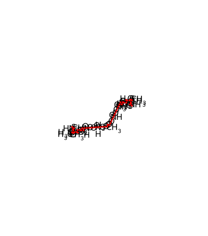 CC(C)(COCCOCCCNC(=O)CCOCCOCCNC(=O)C1CCN(C(=O)Oc2ccc(C[C@H](NC(=O)[C@H]3NCSC3(C)C)C(=O)OC(C)(C)C)cc2)CC1)COCCOCCCNC(=O)CCOCCOCCNC(=O)N1CCN(C(=O)Oc2ccc(C[C@H](NC(=O)[C@H]3NCSC3(C)C)C(=O)OC(C)(C)C)cc2)CC1